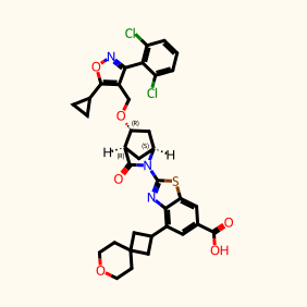 O=C(O)c1cc(C2CC3(CCOCC3)C2)c2nc(N3C(=O)[C@@H]4C[C@H]3C[C@H]4OCc3c(-c4c(Cl)cccc4Cl)noc3C3CC3)sc2c1